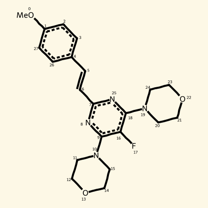 COc1ccc(C=Cc2nc(N3CCOCC3)c(F)c(N3CCOCC3)n2)cc1